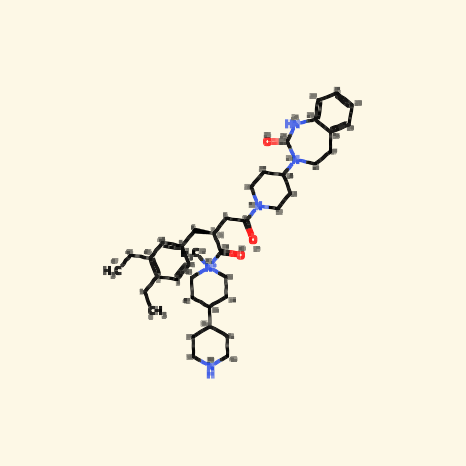 CCc1ccc(C[C@@H](CC(=O)N2CCC(N3CCc4ccccc4NC3=O)CC2)C(=O)[N+]2(C)CCC(C3CCNCC3)CC2)cc1CC